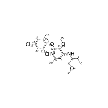 CCC(COC)Nc1cc(C)nc(Oc2c(C)cc(Cl)cc2Cl)c1OC